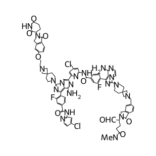 CNC(=O)CCC(C=O)N1Cc2cc(CN3CC4(CCN(c5nc(-c6ccc(C(=O)Nc7cc(Cl)cc(-c8cn9c(N%10CCC%11(CC%10)CN(CCOc%10ccc%12c(c%10)CN(C%10CCC(=O)NC%10=O)C%12=O)C%11)nc(-c%10ccc(C(=O)Nc%11cc(Cl)ccn%11)cc%10F)c9c(N)n8)n7)cc6F)c6c(N)nccn56)CC4)C3)ccc2C1=O